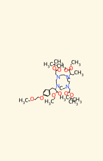 CCOCCOc1ccc(CC(C(=O)OCC)N2CCN(CC(=O)OC(C)(C)C)CCN(C(CC)C(=O)OCC)CCN(CC(=O)OC(C)(C)C)CC2)cc1